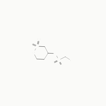 O=S1(=O)CC(OS(=O)(=O)CC(F)(F)F)CCO1